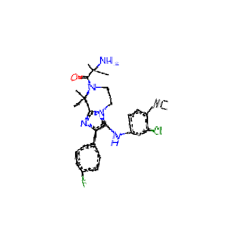 [C-]#[N+]c1ccc(Nc2c(-c3ccc(F)cc3)nc3n2CCN(C(=O)C(C)(C)N)C3(C)C)cc1Cl